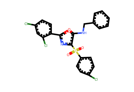 O=S(=O)(c1ccc(Cl)cc1)c1nc(-c2ccc(Cl)cc2Cl)oc1NCc1ccccc1